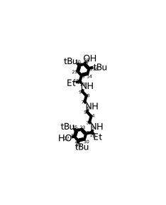 CCC(NCCCNCCCNC(CC)c1cc(C(C)(C)C)c(O)c(C(C)(C)C)c1)c1cc(C(C)(C)C)c(O)c(C(C)(C)C)c1